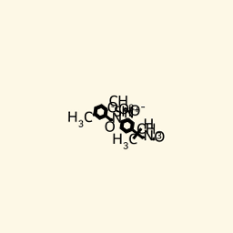 COc1ccc(C)cc1C(=O)N(S)c1ccc(C(C)(C)CNC=O)cc1[N+](=O)[O-]